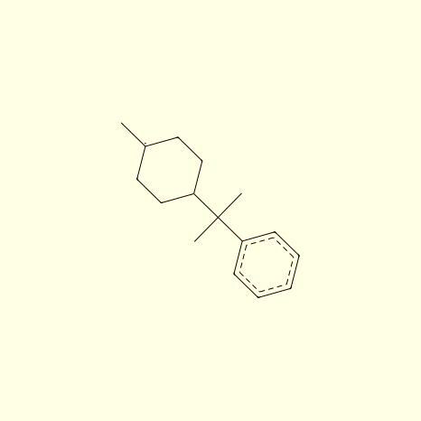 C[C]1CCC(C(C)(C)c2ccccc2)CC1